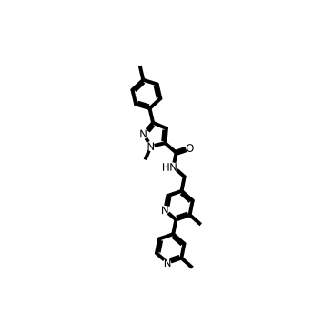 Cc1ccc(-c2cc(C(=O)NCc3cnc(-c4ccnc(C)c4)c(C)c3)n(C)n2)cc1